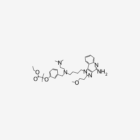 CCOC(=O)C(C)(C)Oc1cccc(CN(CCCCn2c(CCOC)nc3c(N)nc4ccccc4c32)CCN(C)C)c1